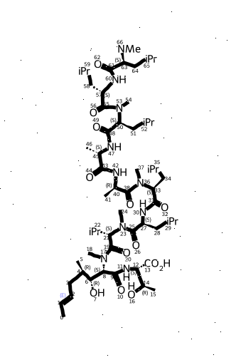 C/C=C/C[C@@H](C)[C@@H](O)[C@@H](C(=O)N[C@H](C(=O)O)[C@@H](C)O)N(C)C(=O)[C@H](C(C)C)N(C)C(=O)[C@H](CC(C)C)NC(=O)[C@H](CC(C)C)N(C)C(=O)[C@@H](C)NC(=O)[C@H](C)NC(=O)[C@H](CC(C)C)N(C)C(=O)[C@H](CC(C)C)NC(=O)[C@H](CC(C)C)NC